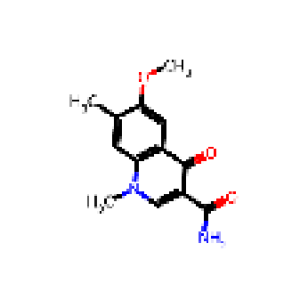 COc1cc2c(=O)c(C(N)=O)cn(C)c2cc1C